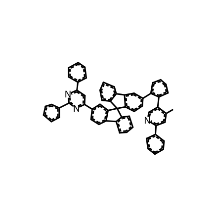 Cc1cc(-c2ccccc2)ncc1-c1ccccc1-c1ccc2c(c1)-c1ccccc1C21c2ccccc2-c2ccc(-c3cc(-c4ccccc4)nc(-c4ccccc4)n3)cc21